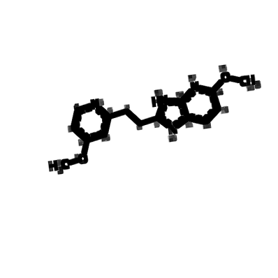 COc1ccnc(CCc2nc3ccc(OC)nc3[nH]2)c1